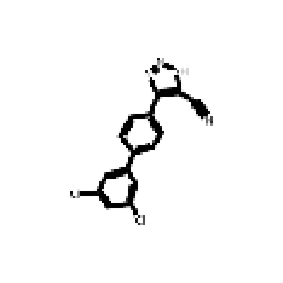 N#Cc1[nH]nnc1-c1ccc(-c2cc(Cl)cc(Cl)c2)cc1